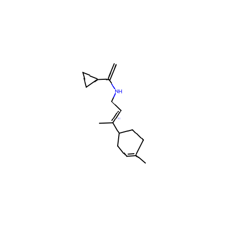 C=C(NC/C=C(\C)C1CC=C(C)CC1)C1CC1